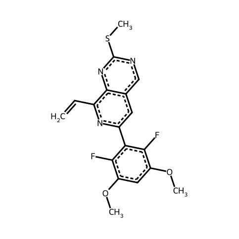 C=Cc1nc(-c2c(F)c(OC)cc(OC)c2F)cc2cnc(SC)nc12